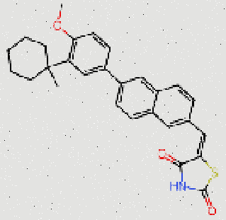 COc1ccc(-c2ccc3cc(C=C4SC(=O)NC4=O)ccc3c2)cc1C1(C)CCCCC1